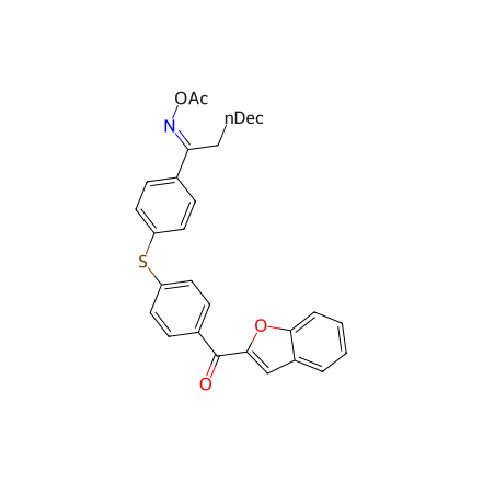 CCCCCCCCCCCC(=NOC(C)=O)c1ccc(Sc2ccc(C(=O)c3cc4ccccc4o3)cc2)cc1